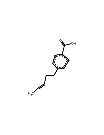 CC=CCCc1ccc(C(=O)O)cc1